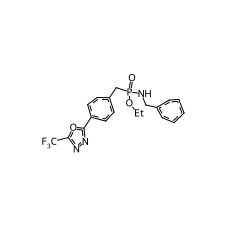 CCOP(=O)(Cc1ccc(-c2nnc(C(F)(F)F)o2)cc1)NCc1ccccc1